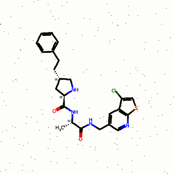 C[C@H](NC(=O)[C@H]1C[C@H](CCc2ccccc2)CN1)C(=O)NCc1cnc2scc(Cl)c2c1